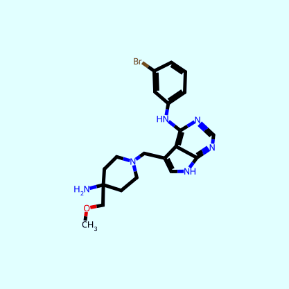 COCC1(N)CCN(Cc2c[nH]c3ncnc(Nc4cccc(Br)c4)c23)CC1